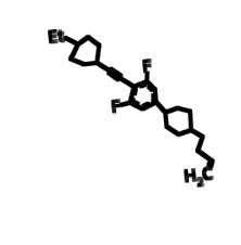 C=CCCC1CCC(c2cc(F)c(C#CC3CCC(CC)CC3)c(F)c2)CC1